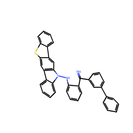 N=C(c1cccc(-c2ccccc2)c1)c1ccccc1Nn1c2ccccc2c2cc3sc4ccccc4c3cc21